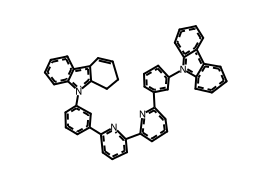 C1=Cc2c(n(-c3cccc(-c4cccc(-c5cccc(-c6cccc(-n7c8ccccc8c8ccccc87)c6)n5)n4)c3)c3ccccc23)CC1